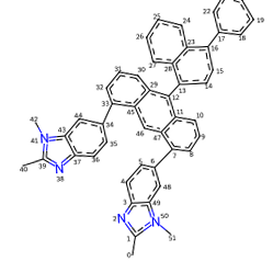 Cc1nc2ccc(-c3cccc4c(-c5ccc(-c6ccccc6)c6ccccc56)c5cccc(-c6ccc7nc(C)n(C)c7c6)c5cc34)cc2n1C